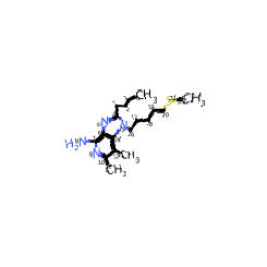 CCCCc1nc2c(N)nc(C)c(C)c2n1CCCCCSC